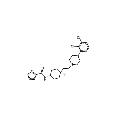 O=C(N[C@H]1CC[C@](F)(CCN2CCN(c3cccc(Cl)c3Cl)CC2)CC1)c1ccco1